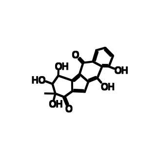 CC1(O)C(=O)C2=CC3=C(O)c4c(O)cccc4C(=O)C3=C2C(O)C1O